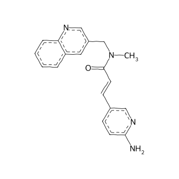 CN(Cc1cnc2ccccc2c1)C(=O)C=Cc1ccc(N)nc1